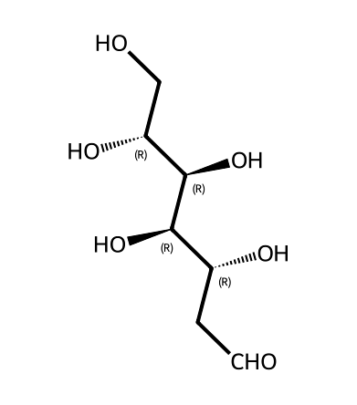 O=CC[C@@H](O)[C@@H](O)[C@H](O)[C@H](O)CO